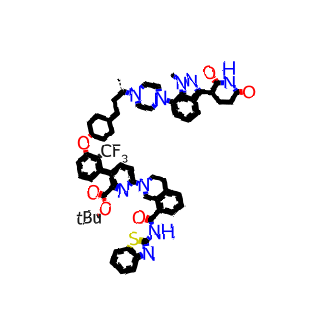 C[C@@H](CCC1CCC(Oc2cccc(-c3ccc(N4CCc5cccc(C(=O)Nc6nc7ccccc7s6)c5C4)nc3C(=O)OC(C)(C)C)c2C(F)(F)F)CC1)N1CCN(c2cccc3c(C4CCC(=O)NC4=O)nn(C)c23)CC1